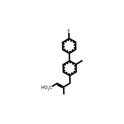 CC(=CC(=O)O)Cc1ccc(-c2ccc(F)cc2)c(C)c1